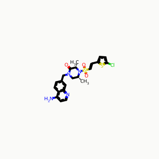 C[C@@H]1CN(Cc2ccc3c(N)ccnc3c2)C(=O)[C@H](C)N1S(=O)(=O)C=Cc1ccc(Cl)s1